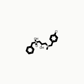 CN(Cc1ccc(Cl)cc1)C[C@H](O)CP(=O)(O)Cc1ccccc1